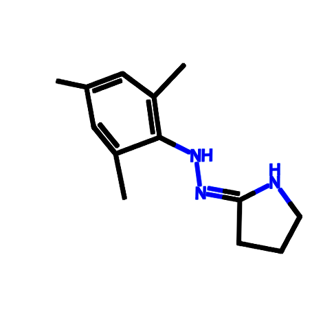 Cc1cc(C)c(N/N=C2/CCCN2)c(C)c1